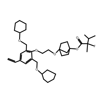 C=Cc1cc(COC2CCCCC2)c(OCCOC23CCC(OC(=O)C(C)(F)C(C)C)(CC2)C3)c(COC2CCCCC2)c1